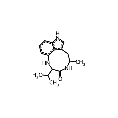 CC1Cc2c[nH]c3cccc(c23)NC(C(C)C)C(=O)N1